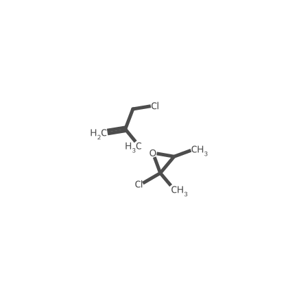 C=C(C)CCl.CC1OC1(C)Cl